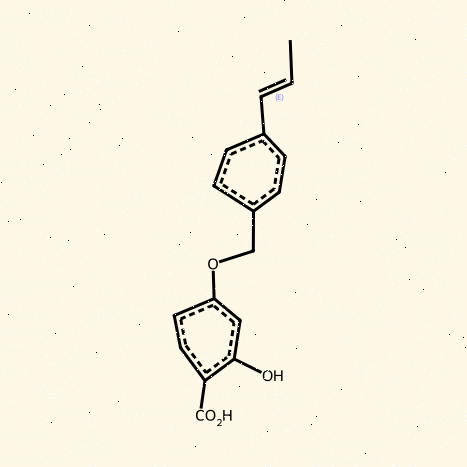 C/C=C/c1ccc(COc2ccc(C(=O)O)c(O)c2)cc1